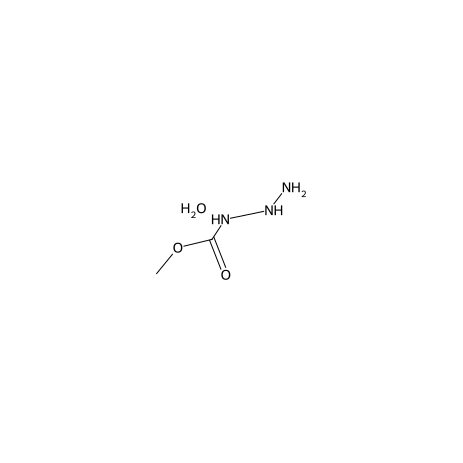 COC(=O)NNN.O